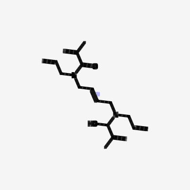 C=CCN(C/C=C/CN(CC=C)C(O)C(=C)C)C(=O)C(=C)C